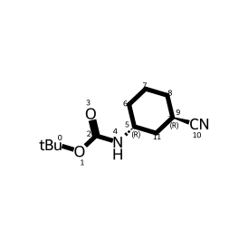 CC(C)(C)OC(=O)N[C@@H]1CCC[C@@H](C#N)C1